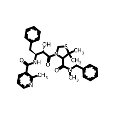 Cc1ncccc1C(=O)N[C@@H](Cc1ccccc1)[C@H](O)C(=O)N1CSC(C)(C)C1C(=O)N(C)Cc1ccccc1